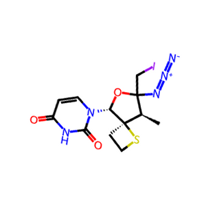 C[C@@H]1C(CI)(N=[N+]=[N-])O[C@@H](n2ccc(=O)[nH]c2=O)[C@@]12CCS2